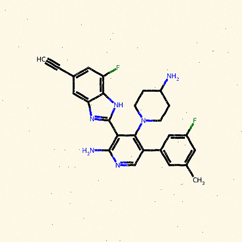 C#Cc1cc(F)c2[nH]c(-c3c(N)ncc(-c4cc(C)cc(F)c4)c3N3CCC(N)CC3)nc2c1